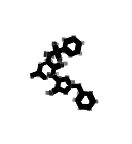 CC(C)C[C@H](NS(=O)(=O)c1ccccc1)C(=O)NC1CN(Cc2ccccc2)CC1=O